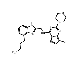 NCCCc1cccc2[nH]c(CNc3nc(N4CCOCC4)nc4c(Br)cnn34)nc12